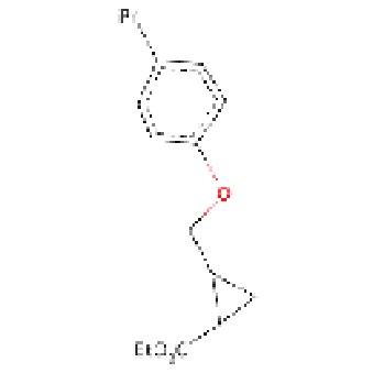 CCOC(=O)C1CC1COc1ccc(C(C)C)cc1